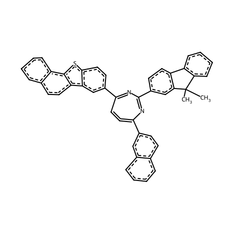 CC1(C)c2ccccc2-c2ccc(C3=NC(c4ccc5ccccc5c4)=C=CC(c4ccc5sc6c7ccccc7ccc6c5c4)=N3)cc21